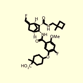 COc1cc(F)c(OC2CCC(C)(C(=O)O)CC2)cc1C(=O)N[C@@H]1[C@H]2C/C(=C/F)[C@H](C2)[C@@H]1C(=O)NCC1(C)CCC1